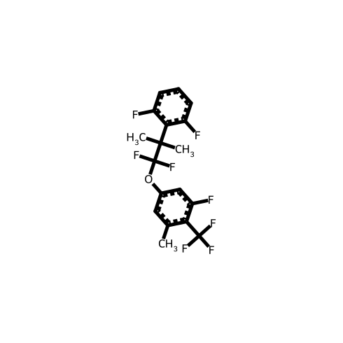 Cc1cc(OC(F)(F)C(C)(C)c2c(F)cccc2F)cc(F)c1C(F)(F)F